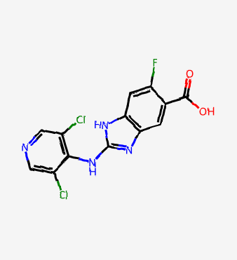 O=C(O)c1cc2nc(Nc3c(Cl)cncc3Cl)[nH]c2cc1F